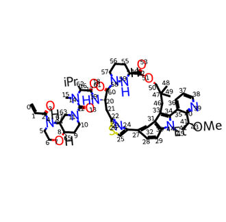 C=CC(=O)N1CCO[C@@H]2CCN(C(=O)N(C)C(C(=O)N[C@H]3Cc4nc(cs4)-c4ccc5c(c4)c(c(-c4cccnc4[C@H](C)OC)n5CC)CC(C)(C)COC(=O)[C@@H]4CCCN(N4)C3=O)C(C)C)C[C@@H]21